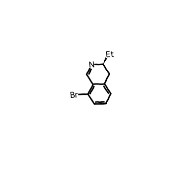 CC[C@H]1Cc2cccc(Br)c2C=N1